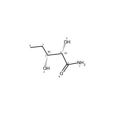 CC[C@@H](O)[C@H](O)C(N)=O